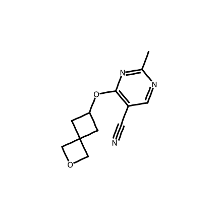 Cc1ncc(C#N)c(OC2CC3(COC3)C2)n1